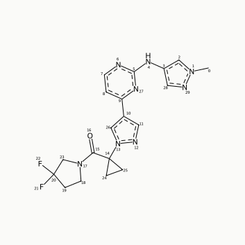 Cn1cc(Nc2nccc(-c3cnn(C4(C(=O)N5CCC(F)(F)C5)CC4)c3)n2)cn1